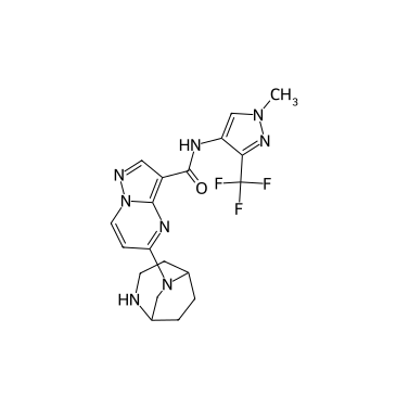 Cn1cc(NC(=O)c2cnn3ccc(N4CC5CCC4CCN5)nc23)c(C(F)(F)F)n1